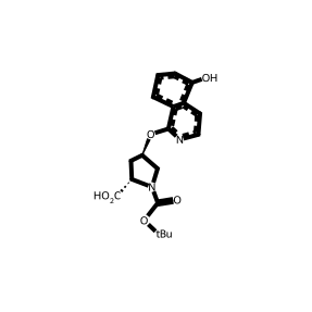 CC(C)(C)OC(=O)N1C[C@H](Oc2nccc3c(O)cccc23)C[C@H]1C(=O)O